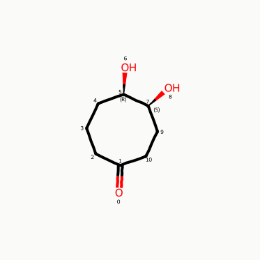 O=C1CCC[C@@H](O)[C@@H](O)CC1